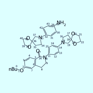 CCCCOc1ccc2c(c1)CCN(c1ccc(N3CCC4(C3)OCCO4)cc1)C2=O.Nc1ccc(N2CCC3(C2)OCCO3)cc1